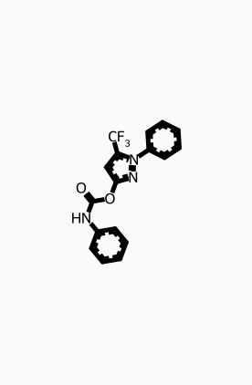 O=C(Nc1ccccc1)Oc1cc(C(F)(F)F)n(-c2ccccc2)n1